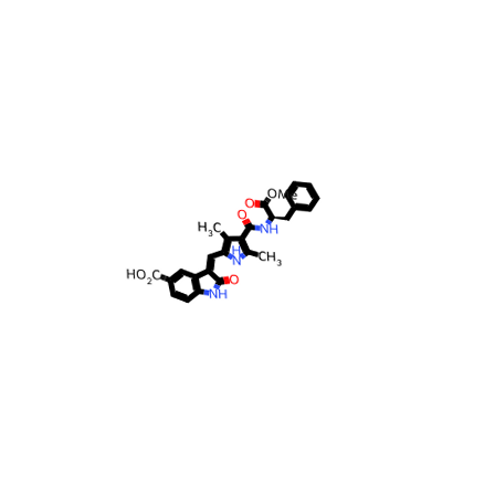 COC(=O)[C@@H](Cc1ccccc1)NC(=O)c1c(C)[nH]c(/C=C2\C(=O)Nc3ccc(C(=O)O)cc32)c1C